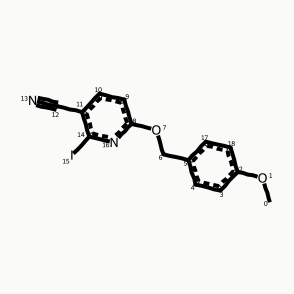 COc1ccc(COc2ccc(C#N)c(I)n2)cc1